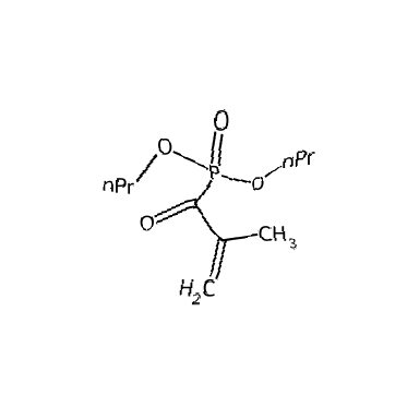 C=C(C)C(=O)P(=O)(OCCC)OCCC